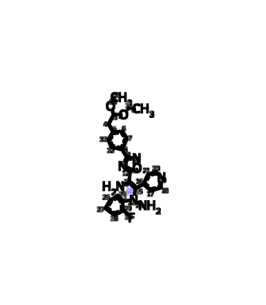 CCOC(Cc1ccc(-c2noc(/C(N)=C(\c3ccncc3)N(N)c3ccccc3F)n2)cc1)OC